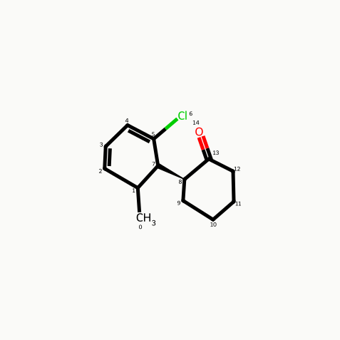 CC1C=CC=C(Cl)C1[C@@H]1CCCCC1=O